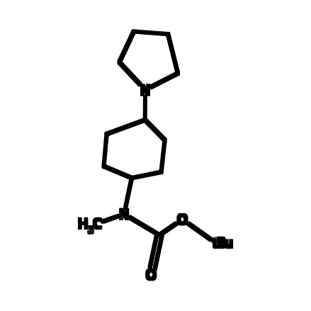 CN(C(=O)OC(C)(C)C)C1CCC(N2CCCC2)CC1